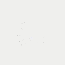 Cn1cc(/C=C(\CC(=O)O)c2nc3ccccc3s2)c(-c2ccc(C(F)(F)F)cc2)n1